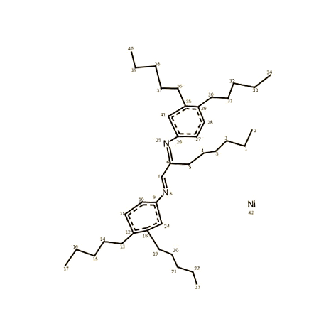 CCCCCCC(/C=N/c1ccc(CCCCC)c(CCCCC)c1)=N\c1ccc(CCCCC)c(CCCCC)c1.[Ni]